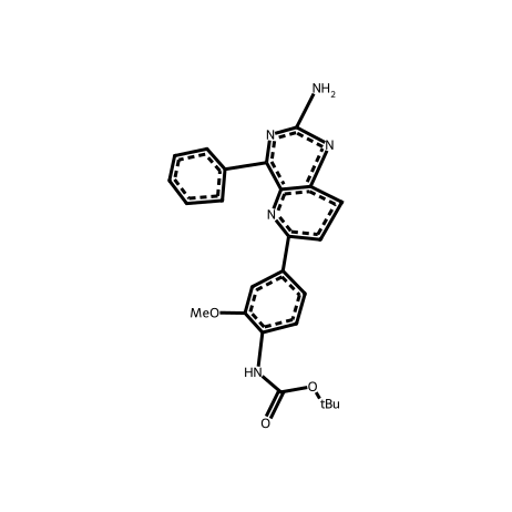 COc1cc(-c2ccc3nc(N)nc(-c4ccccc4)c3n2)ccc1NC(=O)OC(C)(C)C